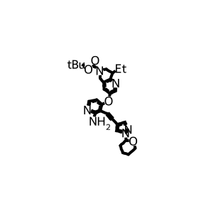 CCC1CN(C(=O)OC(C)(C)C)Cc2cc(Oc3ccnc(N)c3C#Cc3cnn(C4CCCCO4)c3)cnc21